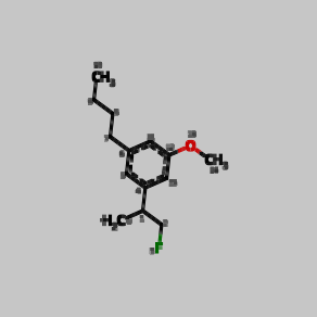 [CH2]C(CF)c1cc(CCCC)cc(OC)c1